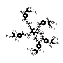 CCC=C(CC)[SiH2]c1ccc(C(=O)OOC(=O)OCCC(COC(=O)OOC(=O)c2ccc([SiH2]C(=CCC)CC)cc2)C(COC(=O)OOC(=O)c2ccc([SiH2]C(=CCC)CC)cc2)C(CCOC(=O)OOC(=O)c2ccc([SiH2]C(=CCC)CC)cc2)COC(=O)OOC(=O)c2ccc([SiH2]C(=CCC)CC)cc2)cc1